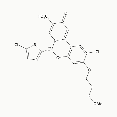 COCCCOc1cc2c(cc1Cl)-c1cc(=O)c(C(=O)O)cn1[C@@H](c1ccc(Cl)s1)O2